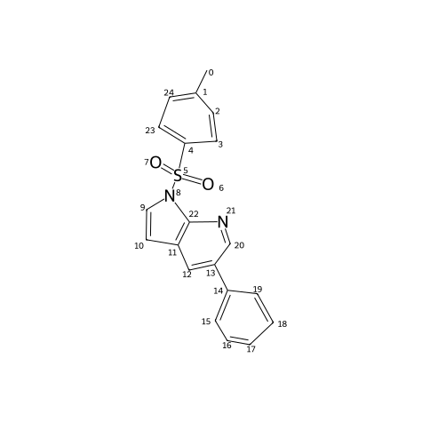 Cc1ccc(S(=O)(=O)n2ccc3cc(-c4ccccc4)cnc32)cc1